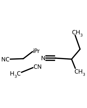 CC#N.CC(C)CC#N.CCC(C)C#N